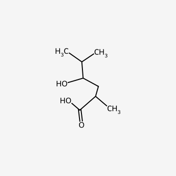 CC(CC(O)C(C)C)C(=O)O